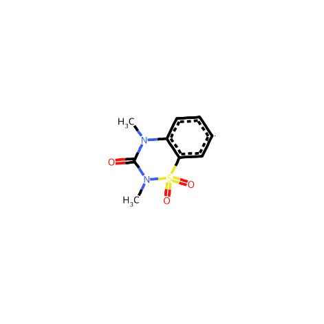 CN1C(=O)N(C)S(=O)(=O)c2c[c]ccc21